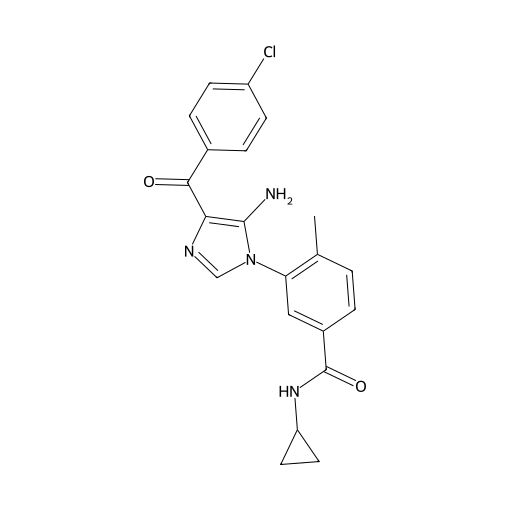 Cc1ccc(C(=O)NC2CC2)cc1-n1cnc(C(=O)c2ccc(Cl)cc2)c1N